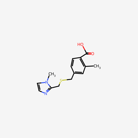 Cc1cc(CSCc2nccn2C)ccc1C(=O)O